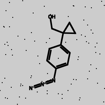 [N-]=[N+]=Nc1ccc(C2(CO)CC2)cc1